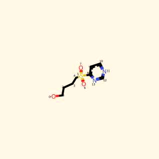 [O]CCCCS(=O)(=O)c1ccncn1